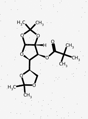 CC1(C)OC[C@H]([C@H]2OC3OC(C)(C)O[C@@H]3[C@H]2OC(=O)C(C)(C)C)O1